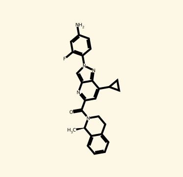 C[C@@H]1c2ccccc2CCN1C(=O)c1cc(C2CC2)c2nn(-c3ccc(N)cc3F)cc2n1